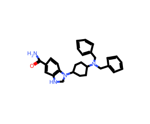 NC(=O)c1ccc2c(c1)N[CH]N2C1CCC(N(Cc2ccccc2)Cc2ccccc2)CC1